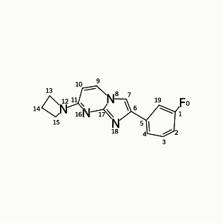 Fc1cccc(-c2cn3ccc(N4CCC4)nc3n2)c1